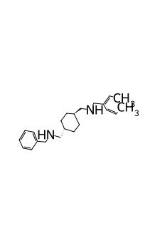 C/C=C\C(=C/C)CNC[C@H]1CC[C@H](CNCc2ccccc2)CC1